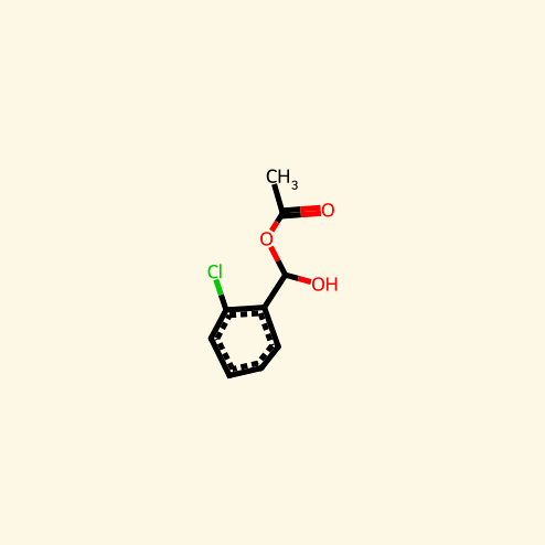 CC(=O)OC(O)c1ccccc1Cl